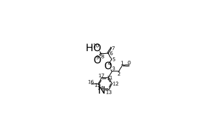 C=CCC(OCC(=C)C(=O)O)c1ccnc(C)c1